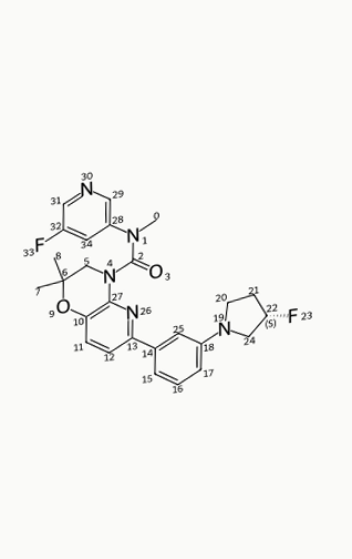 CN(C(=O)N1CC(C)(C)Oc2ccc(-c3cccc(N4CC[C@H](F)C4)c3)nc21)c1cncc(F)c1